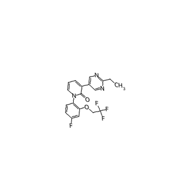 CCc1ncc(-c2cccn(-c3ccc(F)cc3OCC(F)(F)F)c2=O)cn1